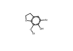 CCOc1c(O)c(C(C)=O)cc2c1OCC2